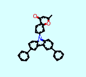 Cc1cc(=O)c2ccc(-n3c4ccc(-c5ccccc5)cc4c4cc(-c5ccccc5)ccc43)cc2o1